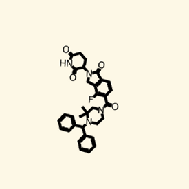 CC1(C)CN(C(=O)c2ccc3c(c2F)CN(C2CCC(=O)NC2=O)C3=O)CCN1C(c1ccccc1)c1ccccc1